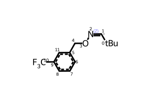 CC(C)(C)/[C]=N\OCc1cccc(C(F)(F)F)c1